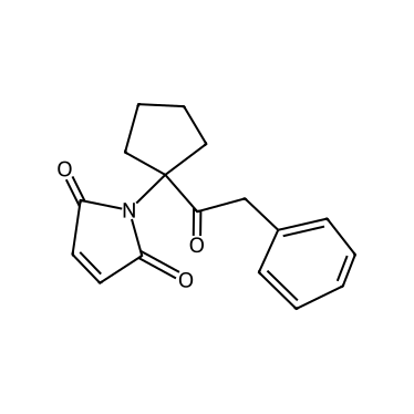 O=C1C=CC(=O)N1C1(C(=O)Cc2ccccc2)CCCC1